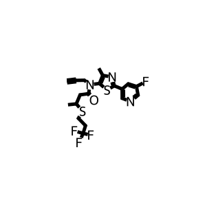 C#CCN(C(=O)CC(C)SCCC(F)(F)F)c1sc(-c2cncc(F)c2)nc1C